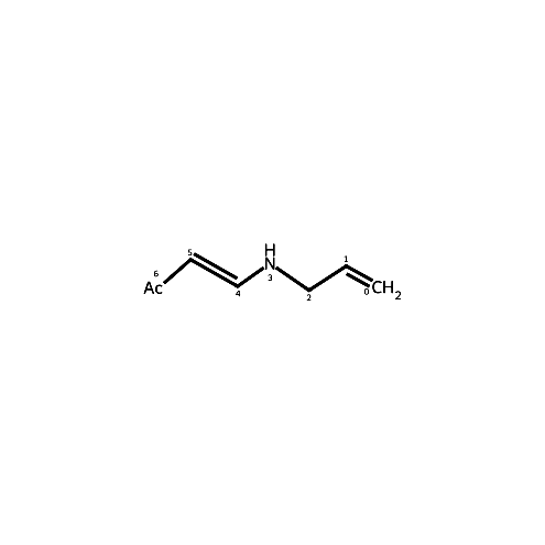 C=CCN/C=C/C(C)=O